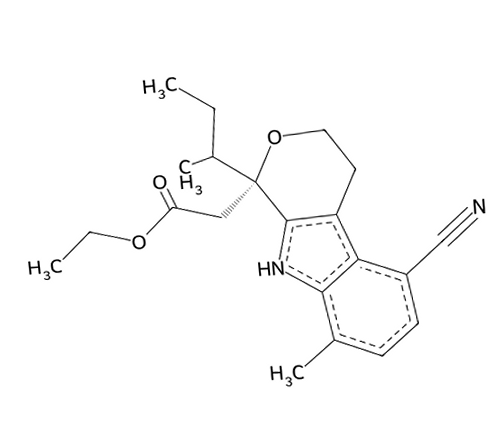 CCOC(=O)C[C@]1(C(C)CC)OCCc2c1[nH]c1c(C)ccc(C#N)c21